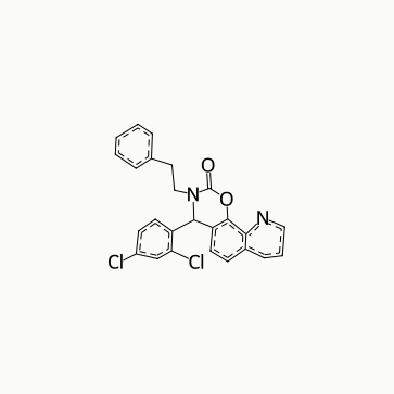 O=C1Oc2c(ccc3cccnc23)C(c2ccc(Cl)cc2Cl)N1CCc1ccccc1